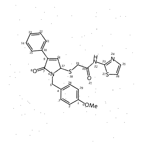 COc1ccc(CN2C(=O)C(c3ccccc3)=CC2SCC(=O)Nc2nccs2)cc1